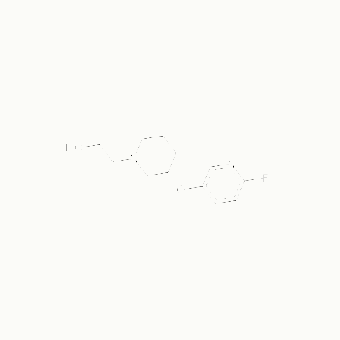 CCc1ccc(O[C@H]2CCCN(CCO)C2)cn1